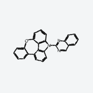 c1ccc2nc(-n3c4cccc5oc6ccccc6c6cccc3c6c54)ncc2c1